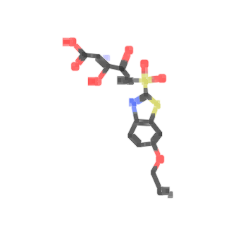 CCOc1ccc2nc(S(=O)(=O)[AsH]C(=O)/C(O)=C/C(=O)O)sc2c1